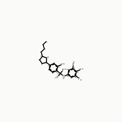 CCCCC1CCC(c2ccc(C(F)(F)Oc3cc(F)c(F)c(F)c3)c(F)c2)C1